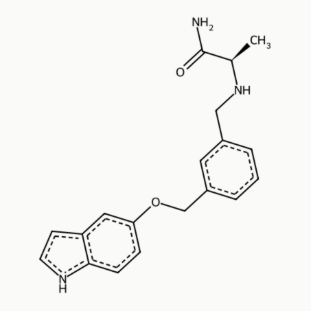 C[C@@H](NCc1cccc(COc2ccc3[nH]ccc3c2)c1)C(N)=O